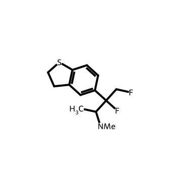 CNC(C)C(F)(CF)c1ccc2c(c1)CCS2